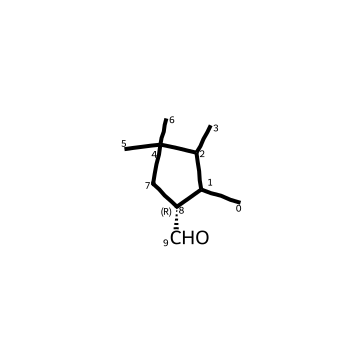 CC1C(C)C(C)(C)C[C@H]1C=O